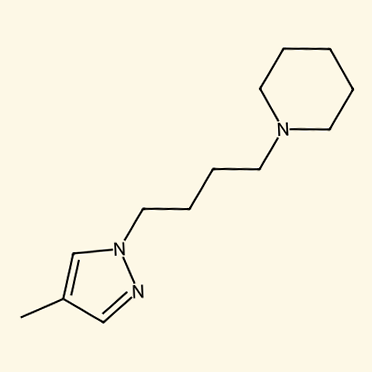 Cc1cnn(CCCCN2CCCCC2)c1